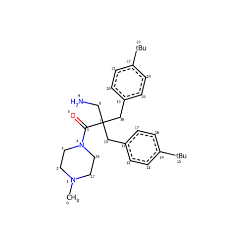 CN1CCN(C(=O)C(CN)(Cc2ccc(C(C)(C)C)cc2)Cc2ccc(C(C)(C)C)cc2)CC1